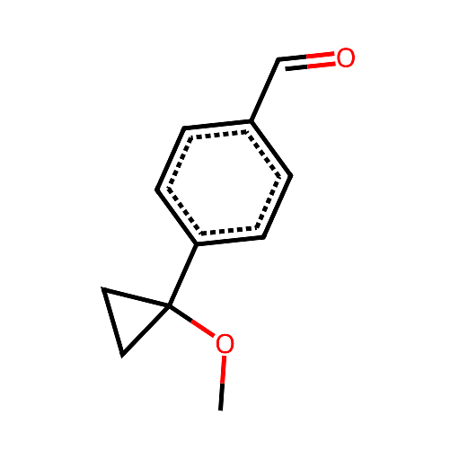 COC1(c2ccc(C=O)cc2)CC1